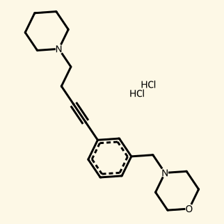 C(#Cc1cccc(CN2CCOCC2)c1)CCN1CCCCC1.Cl.Cl